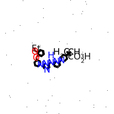 CCOc1ccccc1OC1CCCN(c2cncc(Nc3cccc(N4CCC(C(C)(C)C(=O)O)CC4)n3)n2)C1